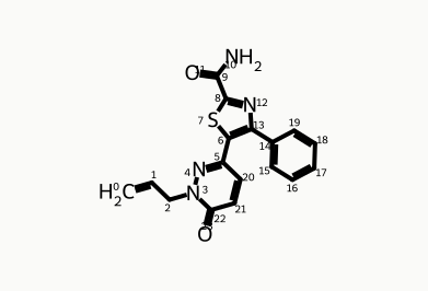 C=CCn1nc(-c2sc(C(N)=O)nc2-c2ccccc2)ccc1=O